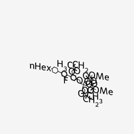 C=C(C)C(=O)OCC(COC(=O)C(=O)OC)(COC(=O)C(=O)OC)COc1ccc(-c2ccc(C3CCC(CCCCCC)CC3)cc2F)c(OC(=O)C(=C)C)c1